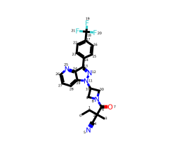 CCC(C)(C#N)C(=O)N1CC(n2nc(-c3ccc(C(F)(F)F)cc3)c3ncccc32)C1